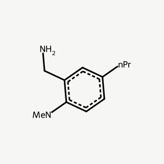 CCCc1ccc(NC)c(CN)c1